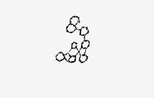 c1cc(-c2ccc3c(c2)C2(c4ccccc4-3)c3ccccc3-n3c4ccccc4c4cccc2c43)cc(-c2cccc3cccnc23)c1